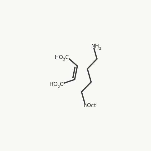 CCCCCCCCCCCCN.O=C(O)/C=C\C(=O)O